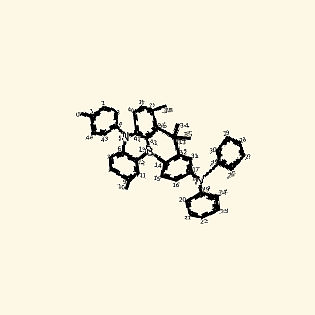 Cc1ccc(N2c3ccc(C)cc3B3c4ccc(N(c5ccccc5)c5ccccc5)cc4C(C)(C)c4c(C)ccc2c43)cc1